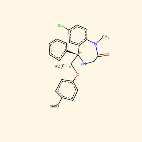 COc1ccc(O[C@H](C(=O)O)[C@@]2(c3ccccc3)NCC(=O)N(C)c3ccc(Cl)cc32)cc1